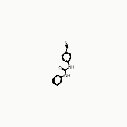 N#Cc1ccc(NC(=O)Nc2cc#ccc2)cc1